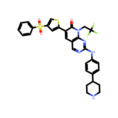 O=c1c(-c2cc(S(=O)(=O)c3ccccc3)cs2)cc2cnc(Nc3ccc(C4CCNCC4)cc3)nc2n1CC(F)(F)F